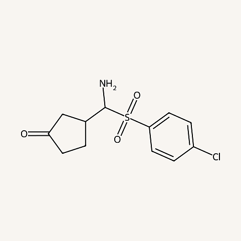 NC(C1CCC(=O)C1)S(=O)(=O)c1ccc(Cl)cc1